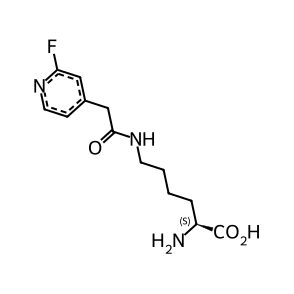 N[C@@H](CCCCNC(=O)Cc1ccnc(F)c1)C(=O)O